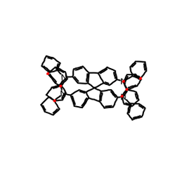 C1=CCC(N(c2ccccc2)c2ccc3c(c2)C2(c4cc(N(C5=CCCC=C5)c5ccccc5)ccc4-c4ccc(N(c5ccccc5)c5ccccc5)cc42)c2cc(N(c4ccccc4)c4ccccc4)ccc2-3)C=C1